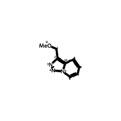 COCc1nnn2ccccc12